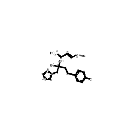 CC(C)(C)C(O)(CCc1ccc(Cl)cc1)Cn1cncn1.CCCCCC=CCC(=O)O